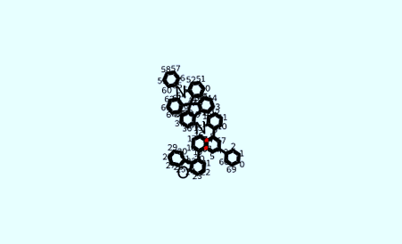 c1ccc(-c2cccc(-c3ccccc3N(c3ccc(-c4cccc5oc6ccccc6c45)cc3)c3cccc4c3-c3ccccc3C43c4ccccc4N(c4ccccc4)c4ccccc43)c2)cc1